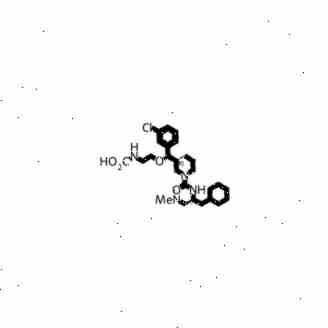 CNC[C@H](CC1CCCCC1)NC(=O)N1CCC[C@@H]([C@@H](OCCNC(=O)O)c2cccc(Cl)c2)C1